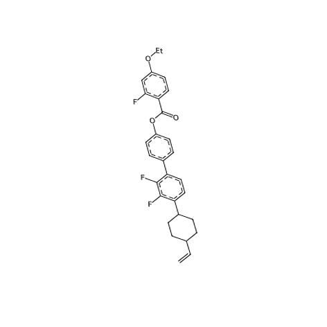 C=CC1CCC(c2ccc(-c3ccc(OC(=O)c4ccc(OCC)cc4F)cc3)c(F)c2F)CC1